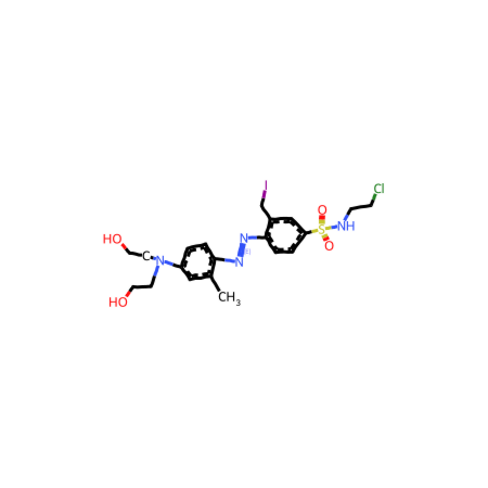 Cc1cc(N(CCO)CCO)ccc1/N=N/c1ccc(S(=O)(=O)NCCCl)cc1CI